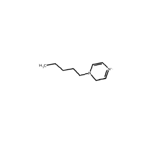 CCCCCN1C=C[N+]=CC1